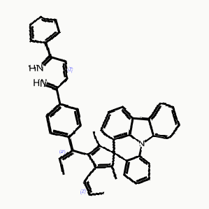 C/C=C\C1=C(C)C2(C(C)=C1/C(=C\C)c1ccc(C(=N)/C=C\C(=N)c3ccccc3)cc1)c1ccccc1-n1c3ccccc3c3cccc2c31